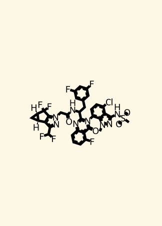 Cn1nc(NS(C)(=O)=O)c2c(Cl)ccc(-n3c(C(Cc4cc(F)cc(F)c4)NC(=O)Cn4nc(C(F)F)c5c4C(F)(F)[C@@H]4C[C@H]54)nc4cccc(F)c4c3=O)c21